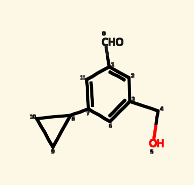 O=Cc1cc(CO)cc(C2CC2)c1